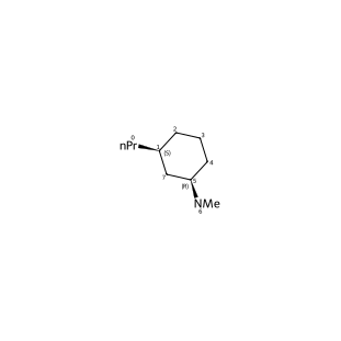 CCC[C@H]1CCC[C@@H](NC)C1